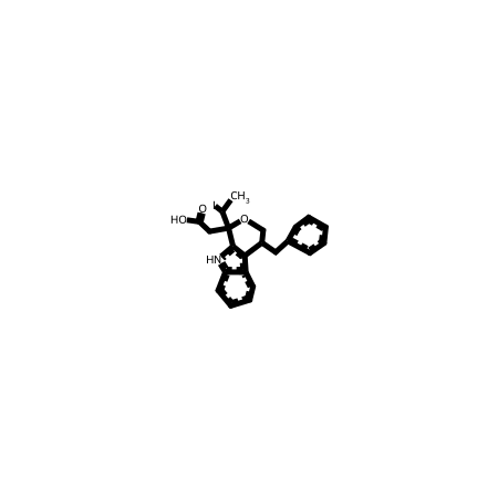 CC(I)C1(CC(=O)O)OCC(Cc2ccccc2)c2c1[nH]c1ccccc21